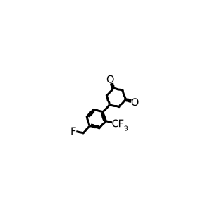 O=C1CC(=O)CC(c2ccc(CF)cc2C(F)(F)F)C1